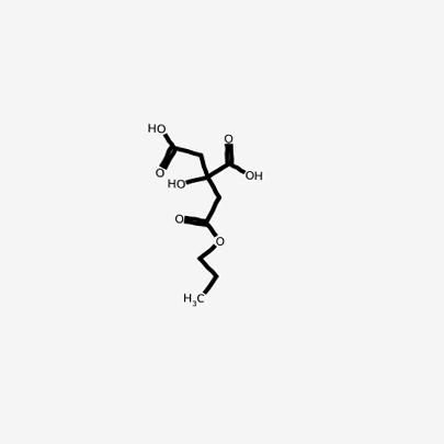 CCCOC(=O)CC(O)(CC(=O)O)C(=O)O